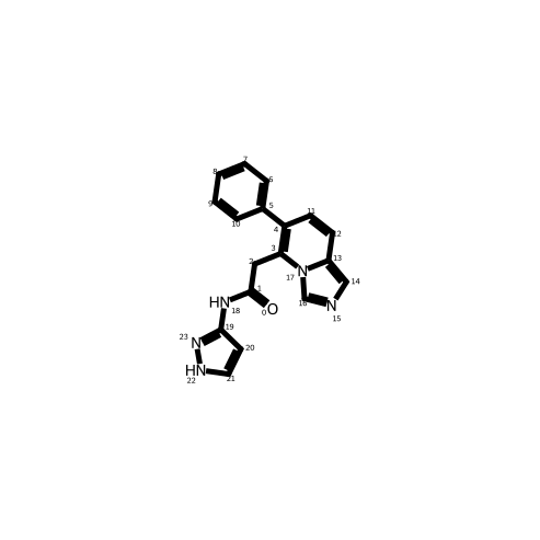 O=C(Cc1c(-c2ccccc2)ccc2cncn12)Nc1cc[nH]n1